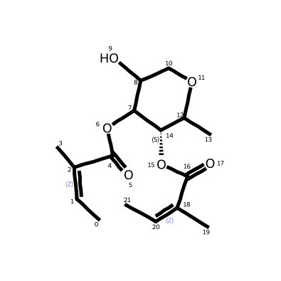 C/C=C(/C)C(=O)OC1C(O)COC(C)[C@@H]1OC(=O)/C(C)=C\C